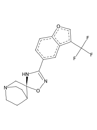 FC(F)(F)c1coc2ccc(C3=NO[C@]4(CN5CCC4CC5)N3)cc12